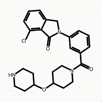 O=C(c1cccc(N2Cc3cccc(Cl)c3C2=O)c1)N1CCC(OC2CCNCC2)CC1